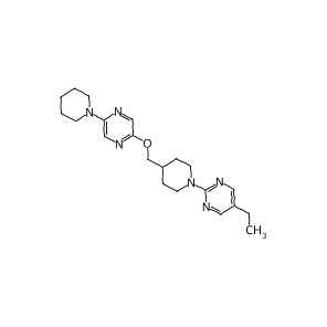 CCc1cnc(N2CCC(COc3cnc(N4CCCCC4)cn3)CC2)nc1